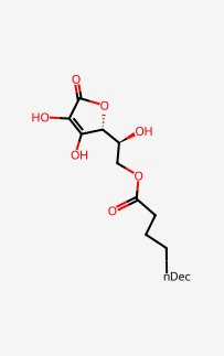 CCCCCCCCCCCCCC(=O)OC[C@H](O)[C@H]1OC(=O)C(O)=C1O